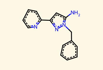 Nc1cc(-c2ccccn2)nn1Cc1ccccc1